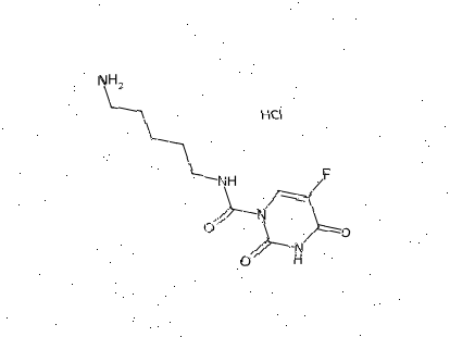 Cl.NCCCCCNC(=O)n1cc(F)c(=O)[nH]c1=O